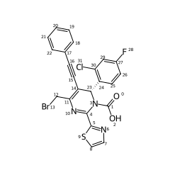 O=C(O)N1C(c2nccs2)=NC(CBr)=C(C#Cc2ccccc2)[C@@H]1c1ccc(F)cc1Cl